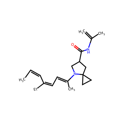 C=C(C)NC(=O)C1CN(/C(C)=C/C=C(\C=C/C)CC)C2(CC2)C1